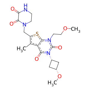 COCCn1c(=O)n([C@H]2C[C@@H](OC)C2)c(=O)c2c(C)c(CN3CCNC(=O)C3=O)sc21